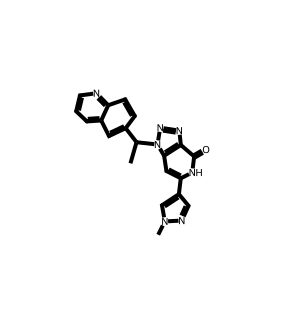 CC(c1ccc2ncccc2c1)n1nnc2c(=O)[nH]c(-c3cnn(C)c3)cc21